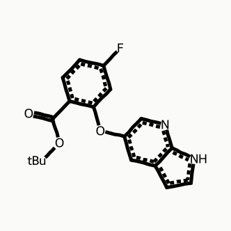 CC(C)(C)OC(=O)c1ccc(F)cc1Oc1cnc2[nH]ccc2c1